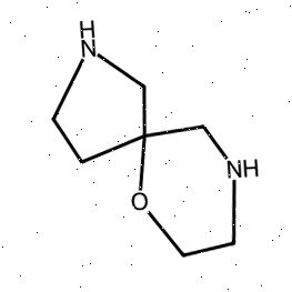 C1COC2(CCNC2)CN1